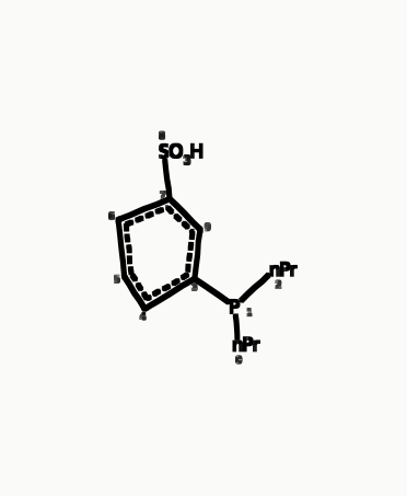 CCCP(CCC)c1cccc(S(=O)(=O)O)c1